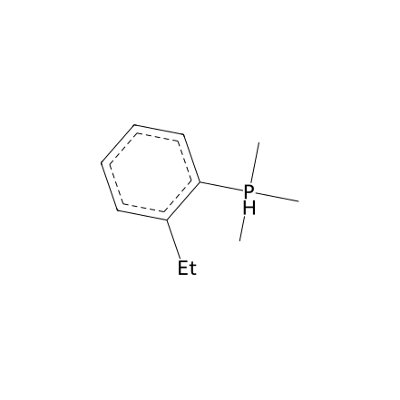 CCc1ccccc1[PH](C)(C)C